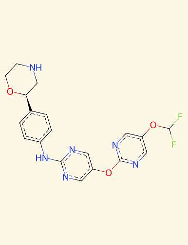 FC(F)Oc1cnc(Oc2cnc(Nc3ccc([C@@H]4CNCCO4)cc3)nc2)nc1